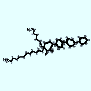 CCCCCCCCCCCCC1(OCCCCCC)C=CC(c2ccc(-c3ccc(-c4ccccc4)cc3)cc2)=C(F)C1F